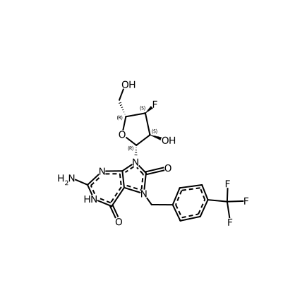 Nc1nc2c(c(=O)[nH]1)n(Cc1ccc(C(F)(F)F)cc1)c(=O)n2[C@@H]1O[C@H](CO)[C@@H](F)[C@H]1O